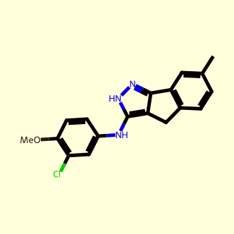 COc1ccc(Nc2[nH]nc3c2Cc2ccc(C)cc2-3)cc1Cl